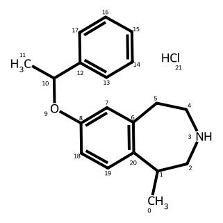 CC1CNCCc2cc(OC(C)c3ccccc3)ccc21.Cl